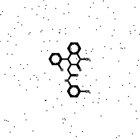 Cc1cccc(NC(=O)CC2C(=O)N(C)c3ccccc3C2c2ccccc2Cl)c1